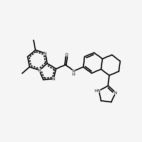 Cc1cc(C)n2cnc(C(=O)NC3=CC4C(C=C3)CCCC4C3=NCCN3)c2n1